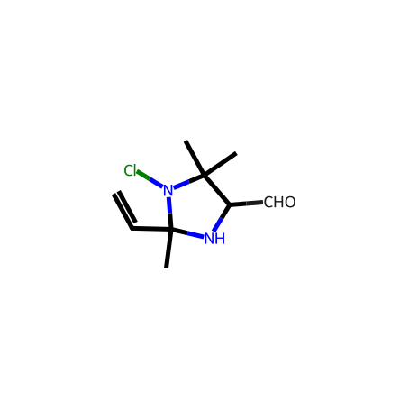 C=CC1(C)NC(C=O)C(C)(C)N1Cl